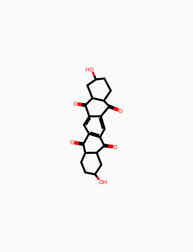 O=C1c2cc3c(cc2C(=O)C2CC(O)CCC12)C(=O)C1CCC(O)CC1C3=O